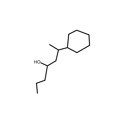 CCCC(O)CC(C)C1CCCCC1